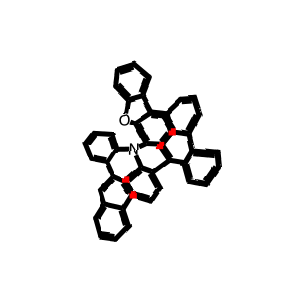 c1ccc(N(c2ccccc2-c2cc3ccccc3c3ccccc23)c2cccc3c2oc2ccccc23)c(-c2ccc3ccccc3c2)c1